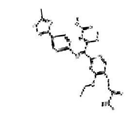 CCOc1cc(C(=Nc2ccc(-c3noc(C)n3)cc2)C(=NC(=O)OC)SC)ccc1OCC(=O)NC